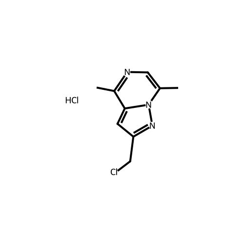 Cc1ncc(C)n2nc(CCl)cc12.Cl